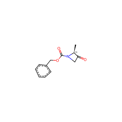 C[C@H]1C(=O)CN1C(=O)OCc1ccccc1